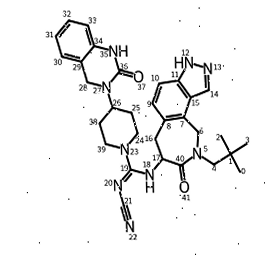 CC(C)(C)CN1Cc2c(ccc3[nH]ncc23)CC(N/C(=N\C#N)N2CCC(N3Cc4ccccc4NC3=O)CC2)C1=O